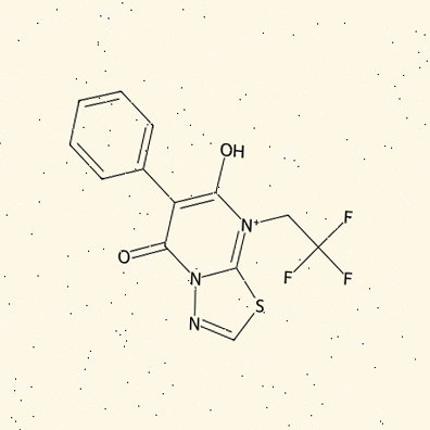 O=c1c(-c2ccccc2)c(O)[n+](CC(F)(F)F)c2scnn12